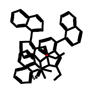 CCC1=Cc2c(-c3cccc4ccccc34)cccc2[CH]1[Ti]([CH3])([CH3])(=[SiH2])([c]1ccccc1)([c]1ccccc1)[CH]1C(CC)=Cc2c(-c3cccc4ccccc34)cccc21